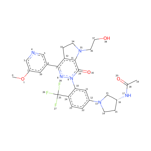 COc1cncc(-c2nn(-c3cc(N4CC[C@@H](NC(C)=O)C4)ccc3C(F)(F)F)c(=O)c3c2CCN3CCO)c1